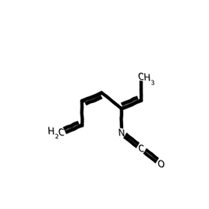 C=C/C=C\C(=C/C)N=C=O